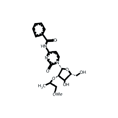 COCC(C)O[C@H]1C(O)[C@@H](CO)O[C@H]1n1ccc(NC(=O)c2ccccc2)nc1=O